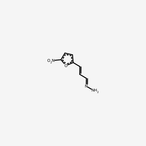 NN=CC=Cc1ccc([N+](=O)[O-])o1